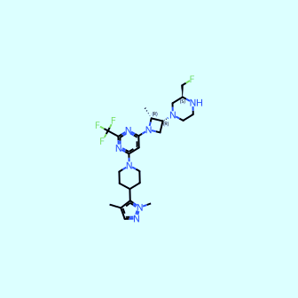 Cc1cnn(C)c1C1CCN(c2cc(N3C[C@@H](N4CCN[C@H](CF)C4)[C@H]3C)nc(C(F)(F)F)n2)CC1